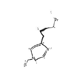 CCn1cnc(CCC(C)C)c1